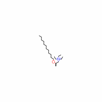 C=C(C[N+](CC)(CC)CC)OCCCCCCCCCCCC